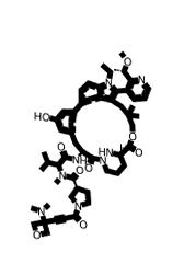 CCn1c(-c2cccnc2[C@H](C)OC)c2c3cc(ccc31)-c1cc(O)cc(c1)C[C@H](NC(=O)C(C(C)C)N(C)C(=O)[C@H]1CCN(C(=O)C#CC3(N(C)C)COC3)C1)C(=O)N1CCC[C@H](N1)C(=O)OCC(C)(C)C2